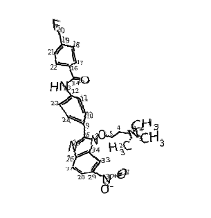 C[N+](C)(C)CCOn1c(-c2ccc(NC(=O)c3ccc(F)cc3)cc2)nc2ccc([N+](=O)[O-])cc21